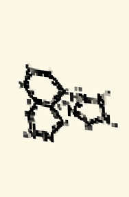 c1ccc2cnncc2c1.c1nn[nH]n1